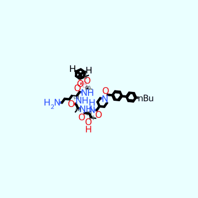 CCCCc1ccc(-c2ccc(C(=O)N3CCC(C(=O)N[C@H](C(=O)N[C@@H](C)C(=O)N[C@@H](CCCCN)C(=O)N[C@@H](C)B4OC5C[C@@H]6C[C@@H](C6(C)C)[C@]5(C)O4)[C@@H](C)O)CC3)cc2)cc1